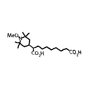 CON1C(C)(C)CC(C(CCCCCCCC(=O)O)C(=O)O)CC1(C)C